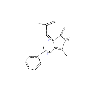 C=C(C)/C=c1/c(/C=C(\C)c2ccccc2)c(C)[nH]c1=C